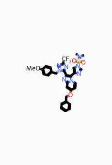 COc1ccc(Cn2nc(C(F)(F)F)nc2-c2nc3cc(OCc4ccccc4)ccn3c2-c2cn(S(=O)(=O)N(C)C)cn2)cc1